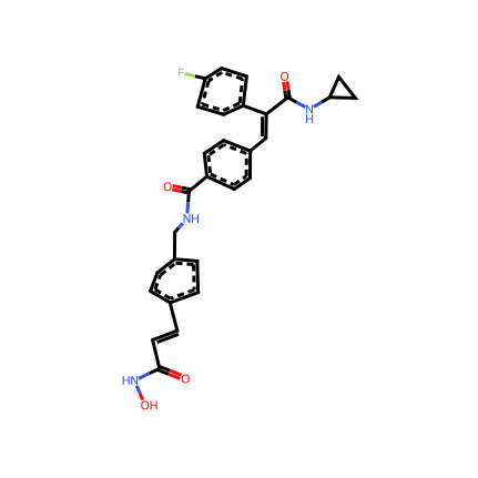 O=C(/C=C/c1ccc(CNC(=O)c2ccc(/C=C(/C(=O)NC3CC3)c3ccc(F)cc3)cc2)cc1)NO